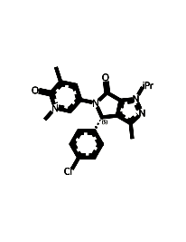 Cc1nn(C(C)C)c2c1[C@H](c1ccc(Cl)cc1)N(c1cc(C)c(=O)n(C)c1)C2=O